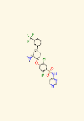 CN(C)[C@H]1C[C@@H](c2cccc(C(F)(F)F)c2)CC[C@@H]1Oc1cc(F)c(S(=O)(=O)Nc2ccncn2)cc1Cl